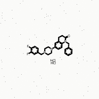 Cl.Cl.O=C1CCc2cc(N3CCN(Cc4ccc(F)c(F)c4)CC3)ccc2N1Cc1ccccc1